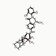 CN1CN(c2c(Cl)cccc2Cl)C(=O)c2cnc(Nc3ccc(N4CC5COCC(C4)N5C(=O)OC(C)(C)C)cc3)nc21